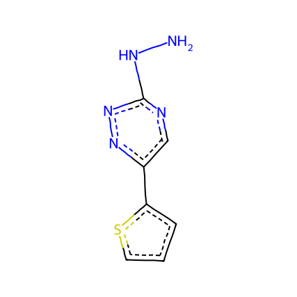 NNc1ncc(-c2cccs2)nn1